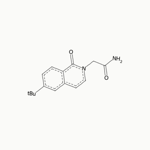 CC(C)(C)c1ccc2c(=O)n(CC(N)=O)ccc2c1